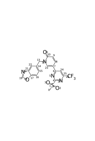 CS(=O)(=O)c1nc(-c2ccc(=O)n(Cc3ccc4ocnc4c3)c2)cc(C(F)(F)F)n1